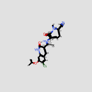 CC(C)Oc1cc2[nH]c(=O)c([C@H](C)Nc3ccc(C#N)n(C)c3=O)cc2cc1Cl